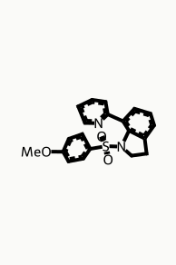 COc1ccc(S(=O)(=O)N2CCc3cccc(-c4ccccn4)c32)cc1